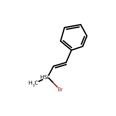 C[SiH](Br)C=Cc1ccccc1